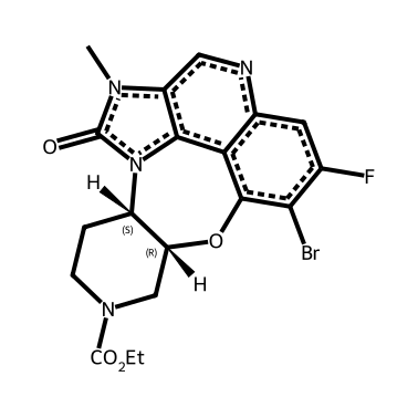 CCOC(=O)N1CC[C@H]2[C@@H](C1)Oc1c(Br)c(F)cc3ncc4c(c13)n2c(=O)n4C